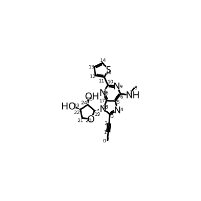 CC#Cc1nc2c(NC)nc(-c3cccs3)nc2n1[C@@H]1OC[C@@H](O)[C@H]1O